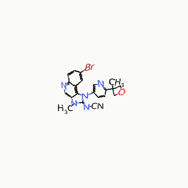 Cn1/c(=N/C#N)n(-c2ccc(C3(C)COC3)nc2)c2c3cc(Br)ccc3ncc21